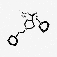 COC(=O)[C@@]1(Nc2ccccc2)CCN(CCc2ccccc2)C[C@@H]1C